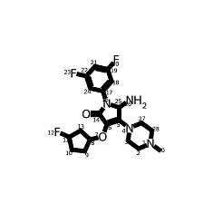 CN1CCN(C2=C(OC3CCC(F)C3)C(=O)N(c3cc(F)cc(F)c3)C2N)CC1